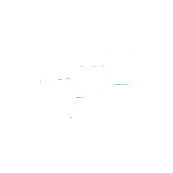 Cc1cc(C(=O)O)c(F)cc1[N+](=O)[O-]